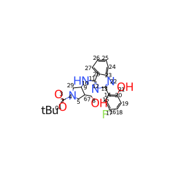 CC(C)(C)OC(=O)N1CC(CO)C(Nc2nc(-c3cc(F)ccc3O)nc3ccccc23)C1